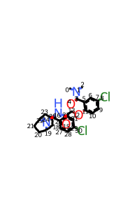 CN(C)C(=O)c1cc(Cl)ccc1OCC(=O)NC1CC2CCC(C1)N2Cc1ccc(Cl)cc1